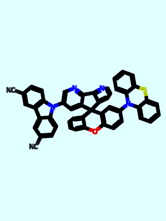 N#Cc1ccc2c(c1)c1cc(C#N)ccc1n2-c1cnc2c(c1)C1(c3ccccc3Oc3ccc(N4c5ccccc5Sc5ccccc54)cc31)c1cccnc1-2